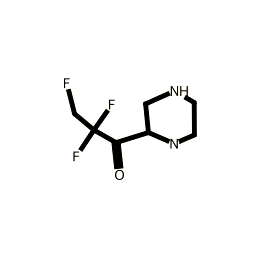 O=C(C1CNCC[N]1)C(F)(F)CF